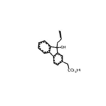 C=CCC1(O)c2ccccc2-c2ccc(CC(=O)O)cc21